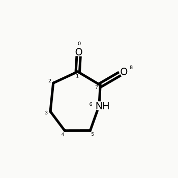 O=C1CCCCNC1=O